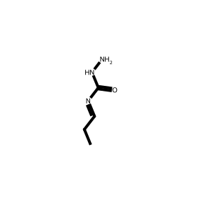 CCC=NC(=O)NN